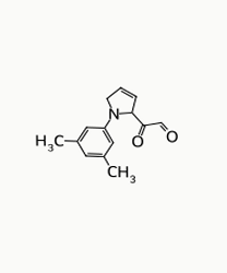 Cc1cc(C)cc(N2CC=CC2C(=O)C=O)c1